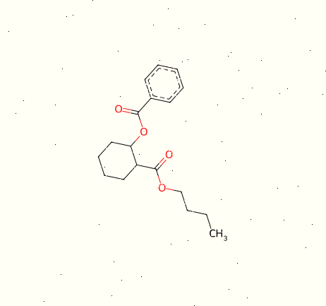 CCCCOC(=O)C1CCCCC1OC(=O)c1ccccc1